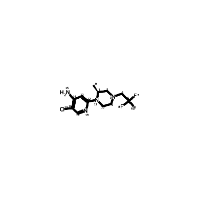 C[C@H]1CN(CC(F)(F)F)CCN1c1cc(N)c(Cl)cn1